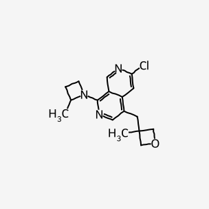 CC1CCN1c1ncc(CC2(C)COC2)c2cc(Cl)ncc12